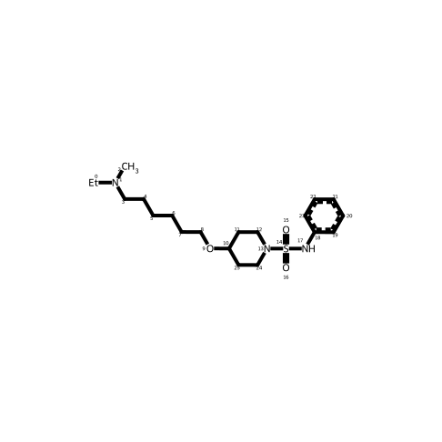 CCN(C)CCCCCCOC1CCN(S(=O)(=O)Nc2ccccc2)CC1